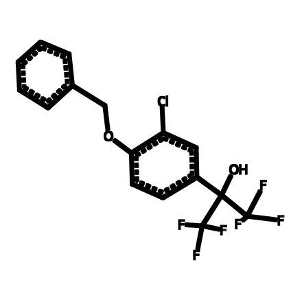 OC(c1ccc(OCc2ccccc2)c(Cl)c1)(C(F)(F)F)C(F)(F)F